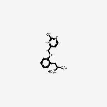 CC(=O)O[C@H](Cc1ccccc1OCc1ccnc(Cl)n1)C(=O)O